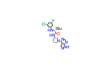 CC(C)(C)[C@@H](Nc1cc(F)cc(Cl)c1)C(=O)N[C@@H]1CCCN(c2ncnc3[nH]ncc23)C1